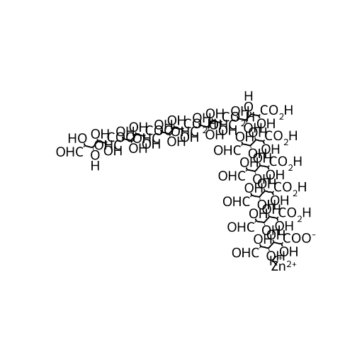 O=C[C@H](O)[C@@H](O)[C@@H](O)[C@H](O)C(=O)O.O=C[C@H](O)[C@@H](O)[C@@H](O)[C@H](O)C(=O)O.O=C[C@H](O)[C@@H](O)[C@@H](O)[C@H](O)C(=O)O.O=C[C@H](O)[C@@H](O)[C@@H](O)[C@H](O)C(=O)O.O=C[C@H](O)[C@@H](O)[C@@H](O)[C@H](O)C(=O)O.O=C[C@H](O)[C@@H](O)[C@@H](O)[C@H](O)C(=O)O.O=C[C@H](O)[C@@H](O)[C@@H](O)[C@H](O)C(=O)O.O=C[C@H](O)[C@@H](O)[C@@H](O)[C@H](O)C(=O)[O-].O=C[C@H](O)[C@@H](O)[C@@H](O)[C@H](O)C(=O)[O-].O=C[C@H](O)[C@@H](O)[C@@H](O)[C@H](O)C(=O)[O-].[K+].[Zn+2]